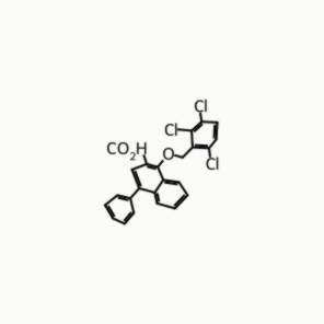 O=C(O)c1cc(-c2ccccc2)c2ccccc2c1OCc1c(Cl)ccc(Cl)c1Cl